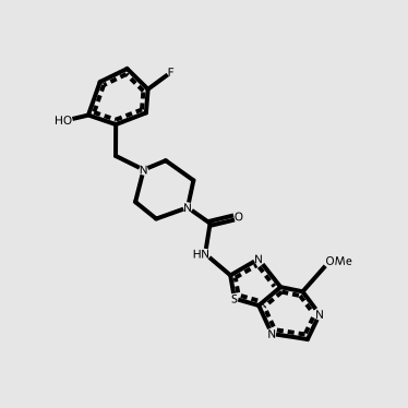 COc1ncnc2sc(NC(=O)N3CCN(Cc4cc(F)ccc4O)CC3)nc12